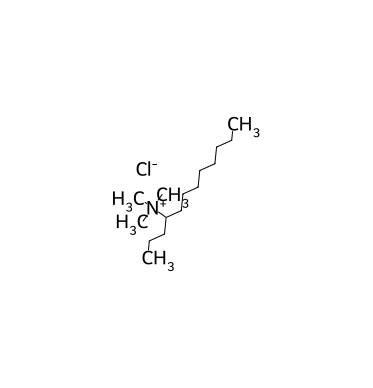 CCCCCCCCC(CCC)[N+](C)(C)C.[Cl-]